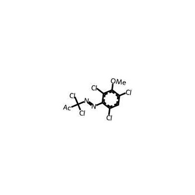 COc1c(Cl)cc(Cl)c(N=NC(Cl)(Cl)C(C)=O)c1Cl